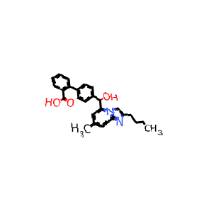 CCCCc1cn2c([C@H](O)c3ccc(-c4ccccc4C(=O)O)cc3)cc(C)cc2n1